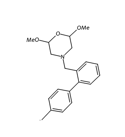 [CH2]c1ccc(-c2ccccc2CN2CC(OC)OC(OC)C2)cc1